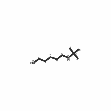 CC(C)(C)NCCSCCO